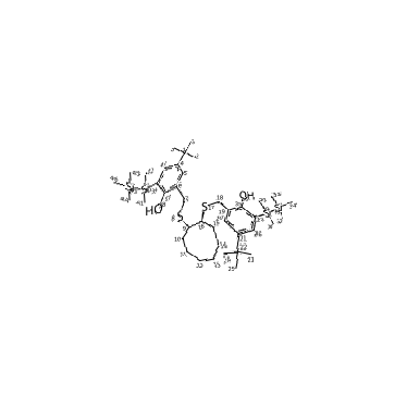 CC(C)(C)c1cc(CSC2CCCCCC[C@@H]2SCc2cc(C(C)(C)C)cc([Si](C)(C)[Si](C)(C)C)c2O)c(O)c([Si](C)(C)[Si](C)(C)C)c1